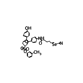 Cc1cccc(OS(=O)(=O)C2CC3OC2C(c2ccc(NC(=O)CCCCC[Se]C#N)cc2)=C3c2ccc(O)cc2)c1